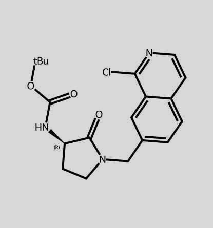 CC(C)(C)OC(=O)N[C@@H]1CCN(Cc2ccc3ccnc(Cl)c3c2)C1=O